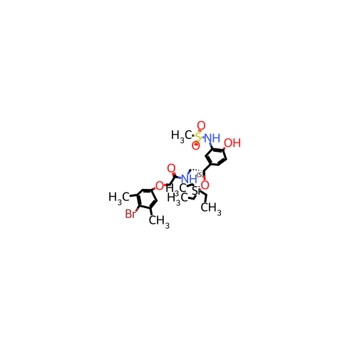 CC[Si](CC)(CC)O[C@H](CNC(=O)COc1cc(C)c(Br)c(C)c1)c1ccc(O)c(NS(C)(=O)=O)c1